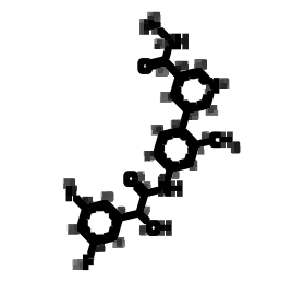 Cc1cc(NC(=O)C(O)c2cc(F)cc(F)c2)ccc1-c1cncc(C(=O)NC(C)C)c1